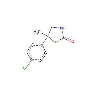 CC1(c2ccc(Br)cc2)CNC(=O)S1